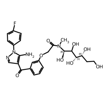 CN(C(=O)COc1cccc(C(=O)c2cnn(-c3ccc(F)cc3)c2N)c1)[C@H](O)C(O)[C@@H](O)[C@H](O)CCO